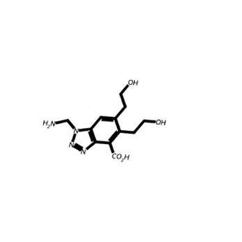 NCn1nnc2c(C(=O)O)c(CCO)c(CCO)cc21